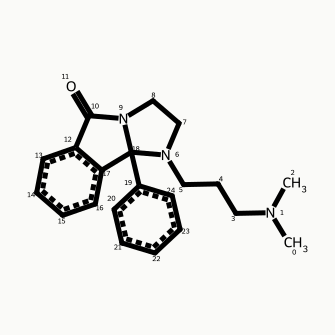 CN(C)CCCN1CCN2C(=O)c3ccccc3C12c1ccccc1